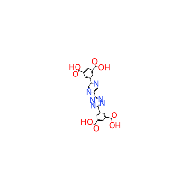 O=C(O)c1cc(C(=O)O)cc(-c2cnc(-c3nnc(-c4cc(C(=O)O)cc(C(=O)O)c4)nn3)cn2)c1